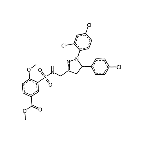 COC(=O)c1ccc(OC)c(S(=O)(=O)NCC2=NN(c3ccc(Cl)cc3Cl)C(c3ccc(Cl)cc3)C2)c1